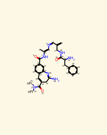 C=C(/C=N\C=C(/C)NC(=O)c1ccc2c(c1)N=C(N)CC(C(=O)N(CCC)CCC)=C2)CNC(=O)C(N)Cc1ccccc1